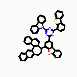 c1ccc2cc3c(cc2c1)CCC(c1cc(-c2nc(-c4cccc5c4sc4ccccc45)nc(-n4c5ccccc5c5ccccc54)n2)cc2c1oc1ccccc12)c1ccc2ccccc2c1-3